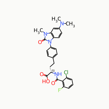 CN(C)c1ccc2c(c1)n(C)c(=O)n2-c1ccc(CC[C@H](NC(=O)c2c(F)cccc2Cl)C(=O)O)cc1